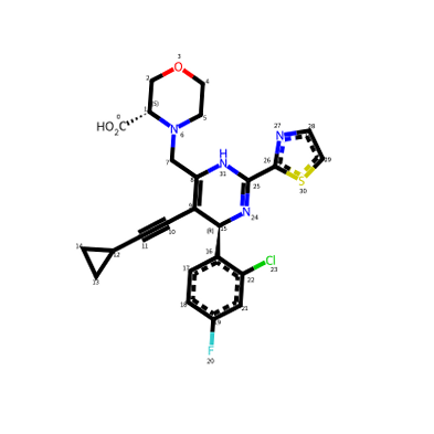 O=C(O)[C@@H]1COCCN1CC1=C(C#CC2CC2)[C@H](c2ccc(F)cc2Cl)N=C(c2nccs2)N1